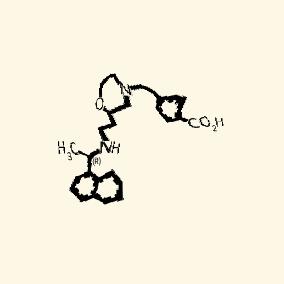 C[C@@H](NCCC1CN(Cc2ccc(C(=O)O)cc2)CCO1)c1cccc2ccccc12